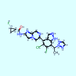 CC(c1c(F)c(Cl)c(-c2cn3cc(NC(=O)[C@@H]4C[C@@H]4F)nc3cn2)c2cn[nH]c12)n1nccn1